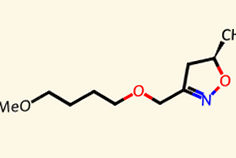 COCCCCOCC1=NO[C@H](C)C1